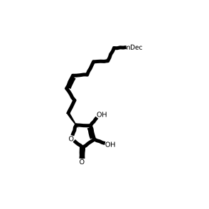 CCCCCCCCCCCCCC/C=C\CC[C@@H]1OC(=O)C(O)=C1O